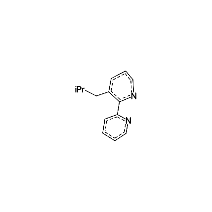 CC(C)Cc1cccnc1-c1ccccn1